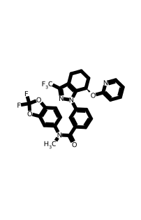 CN(C(=O)c1cccc(-n2nc(C(F)(F)F)c3c2[C@@H](Oc2ccccn2)CCC3)c1)c1ccc2c(c1)OC(F)(F)O2